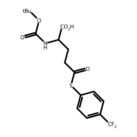 CC(C)(C)OC(=O)NC(CCC(=O)Sc1ccc(C(F)(F)F)cc1)C(=O)O